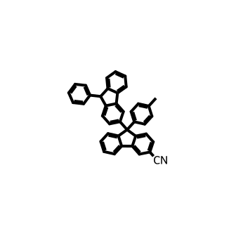 Cc1ccc(C2(c3ccc4c(c3)-c3ccccc3C4c3ccccc3)c3ccccc3-c3cc(C#N)ccc32)cc1